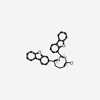 ClC1=C/CC/C(c2ccc3c(c2)oc2ccccc23)=N/C(c2cccc3c2oc2ccccc23)=N\1